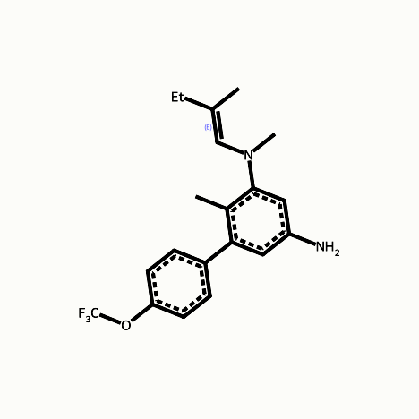 CC/C(C)=C/N(C)c1cc(N)cc(-c2ccc(OC(F)(F)F)cc2)c1C